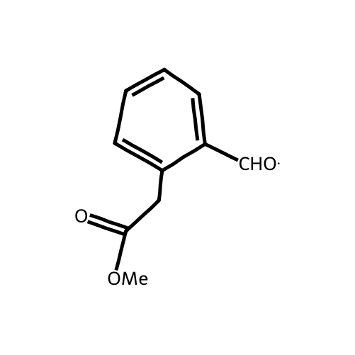 COC(=O)Cc1ccccc1[C]=O